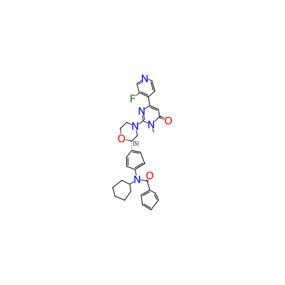 Cn1c(N2CCO[C@@H](c3ccc(N(C(=O)c4ccccc4)C4CCCCC4)cc3)C2)nc(-c2ccncc2F)cc1=O